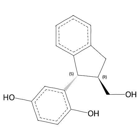 OC[C@@H]1Cc2ccccc2[C@H]1c1cc(O)ccc1O